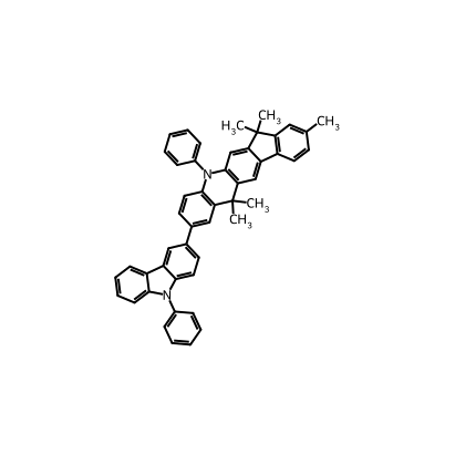 Cc1ccc2c(c1)C(C)(C)c1cc3c(cc1-2)C(C)(C)c1cc(-c2ccc4c(c2)c2ccccc2n4-c2ccccc2)ccc1N3c1ccccc1